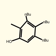 CCCCc1cc(O)c(C)c(CCCC)c1CCCC